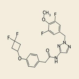 COc1c(F)cc(Cn2ncc(NC(=O)Cc3ccc(OC4CC(F)(F)C4)cc3)n2)cc1F